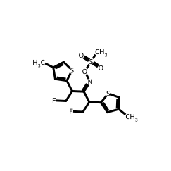 Cc1csc(C(CF)C(=NOS(C)(=O)=O)C(CF)c2cc(C)cs2)c1